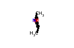 CCCCCCc1ccc(C2CCC(C(=O)Oc3ccc(CCCC)cc3C#N)CC2)cc1